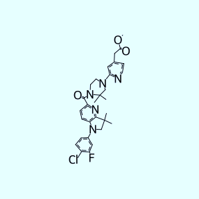 COC(=O)Cc1ccnc(N2CCN(C(=O)c3ccc4c(n3)C(C)(C)CN4c3ccc(Cl)c(F)c3)C(C)(C)C2)c1